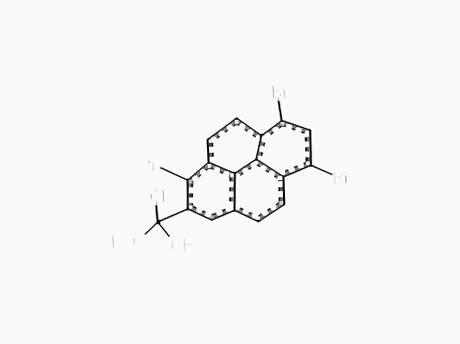 CC(C)(C)c1cc2ccc3c(Br)cc(Br)c4ccc(c1Br)c2c34